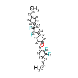 CCCCC1CC=C(COC2CCC(c3ccc(-c4ccc(CCC)cc4)c(F)c3F)CC2)C(F)=C1F